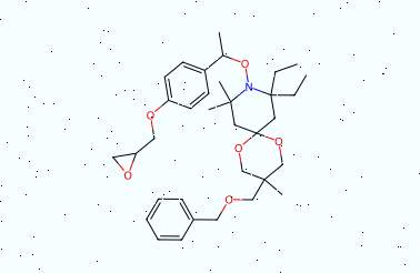 CCC1(CC)CC2(CC(C)(C)N1OC(C)c1ccc(OCC3CO3)cc1)OCC(C)(COCc1ccccc1)CO2